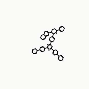 C1=CCC(C2=CCC(c3nc(C4=CC=C(C5=CCCC=C5)CC4)nc(C4CC=C(C5=NC(C6=CCCC=C6)CCC5C5=CCC6CCC=CC6=C5)CC4)n3)C=C2)C=C1